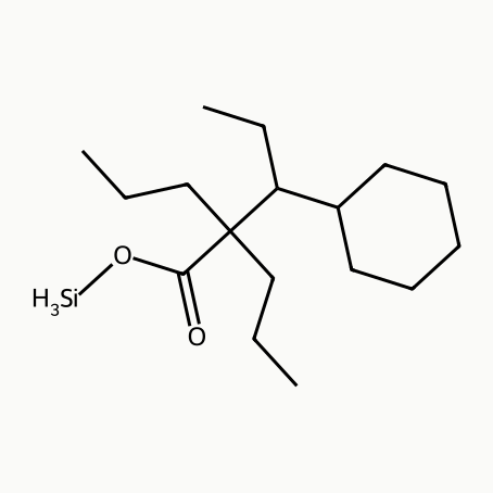 CCCC(CCC)(C(=O)O[SiH3])C(CC)C1CCCCC1